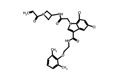 C=CC(=O)N1CC(NC(=O)Cn2cc(C(=O)NCCOc3c(C)cccc3C)c3cc(Cl)cc(Cl)c32)C1